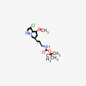 COc1cc(/C=C/CNC(=O)OC(C)(C)C)cn2ncc(Cl)c12